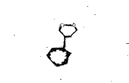 [c]1ccc(C2CCOOC2)cc1